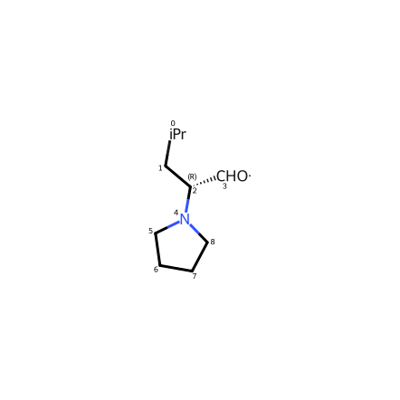 CC(C)C[C@H]([C]=O)N1CCCC1